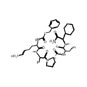 CC(C)CC(NC(=O)[C@@H]1CCCN1C(=O)C(NC(=O)C(CCC=CC(=O)O)NC(=O)OCc1ccccc1)C(C)C)C(=O)NC(C(N)=O)C1CCCCC1